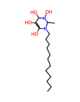 CCCCCCCCCCCCN1C(O)=C(O)C(O)N(O)C1C